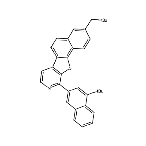 CC(C)(C)Cc1ccc2c(ccc3c4ccnc(-c5cc(C(C)(C)C)c6ccccc6c5)c4sc23)c1